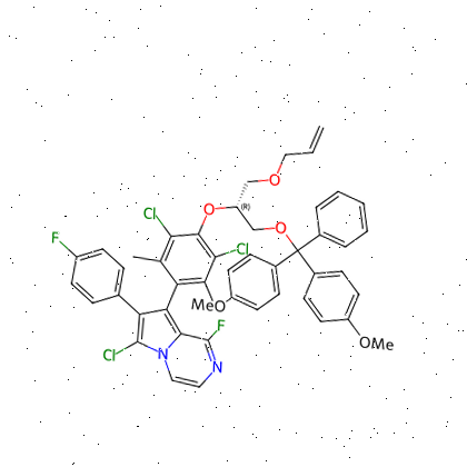 C=CCOC[C@H](COC(c1ccccc1)(c1ccc(OC)cc1)c1ccc(OC)cc1)Oc1c(Cl)c(C)c(-c2c(-c3ccc(F)cc3)c(Cl)n3ccnc(F)c23)c(C)c1Cl